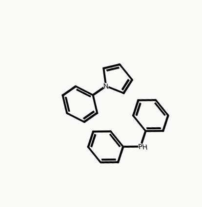 c1ccc(-n2cccc2)cc1.c1ccc(Pc2ccccc2)cc1